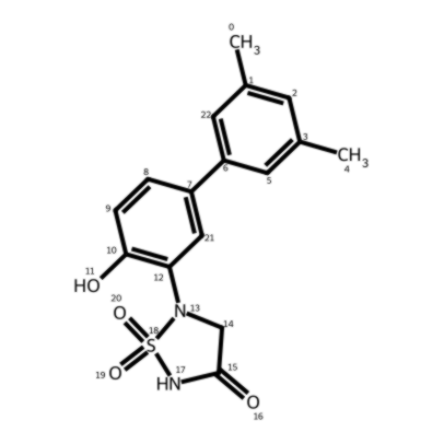 Cc1cc(C)cc(-c2ccc(O)c(N3CC(=O)NS3(=O)=O)c2)c1